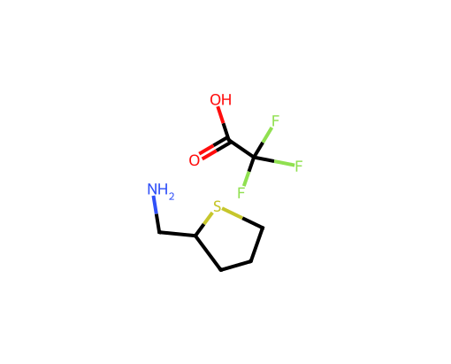 NCC1CCCS1.O=C(O)C(F)(F)F